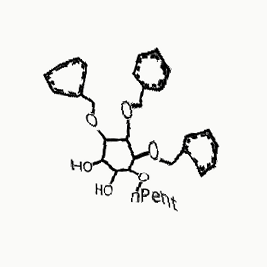 CCCCCOC1C(O)C(O)C(OCc2ccccc2)C(OCc2ccccc2)C1OCc1ccccc1